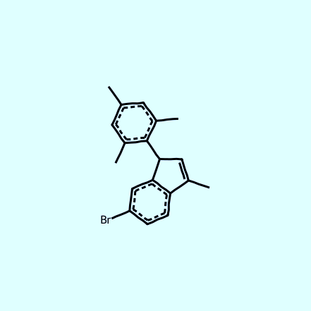 CC1=CC(c2c(C)cc(C)cc2C)c2cc(Br)ccc21